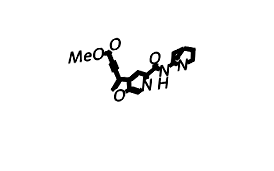 COC(=O)C#Cc1coc2cnc(C(=O)NC3CC4CCN3C4)cc12